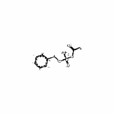 CC(=O)OP(N)(=O)OCc1ccccc1